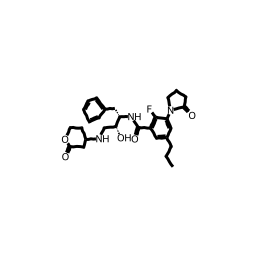 CCCc1cc(C(=O)N[C@@H](Cc2ccccc2)[C@H](O)CNC2CCOC(=O)C2)c(F)c(N2CCCC2=O)c1